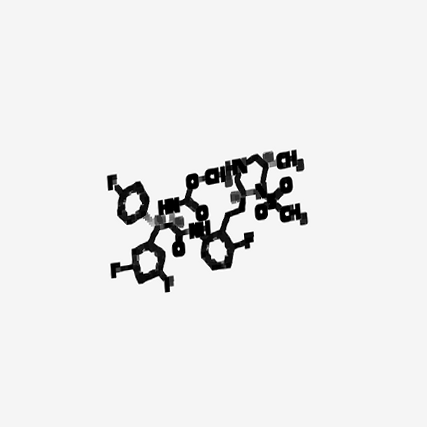 COC(=O)N[C@H](C(=O)Nc1cccc(F)c1CC[C@H]1CNC[C@H](C)N1S(C)(=O)=O)[C@@H](c1ccc(F)cc1)c1cc(F)cc(F)c1